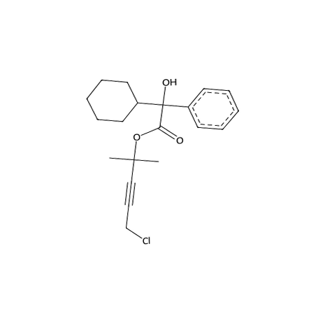 CC(C)(C#CCCl)OC(=O)C(O)(c1ccccc1)C1CCCCC1